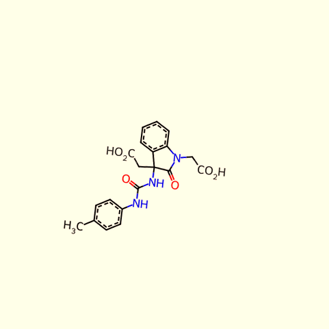 Cc1ccc(NC(=O)NC2(CC(=O)O)C(=O)N(CC(=O)O)c3ccccc32)cc1